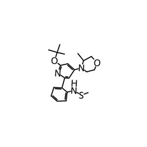 CSNc1ccccc1-c1cc(N2CCOCC2C)cc(OC(C)(C)C)n1